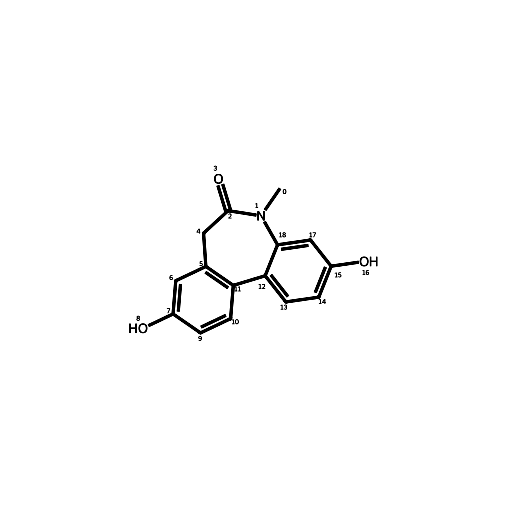 CN1C(=O)Cc2cc(O)ccc2-c2ccc(O)cc21